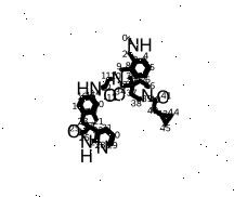 CNCc1ccccc1CN(CC(=O)Nc1ccc2c(c1)C[C@@]1(C2)C(=O)Nc2ncccc21)C(=O)C1(C)CCN(C(=O)CC2CC2)CC1